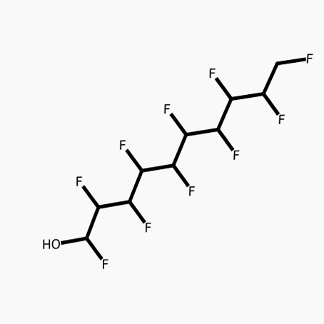 OC(F)C(F)C(F)C(F)C(F)C(F)C(F)C(F)C(F)CF